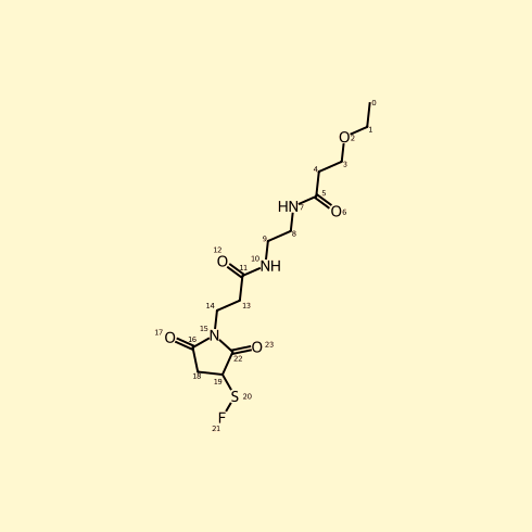 CCOCCC(=O)NCCNC(=O)CCN1C(=O)CC(SF)C1=O